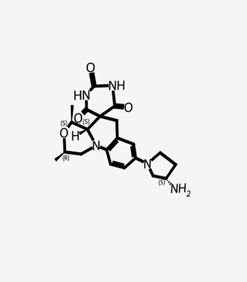 C[C@@H]1CN2c3ccc(N4CC[C@H](N)C4)cc3CC3(C(=O)NC(=O)NC3=O)[C@H]2[C@H](C)O1